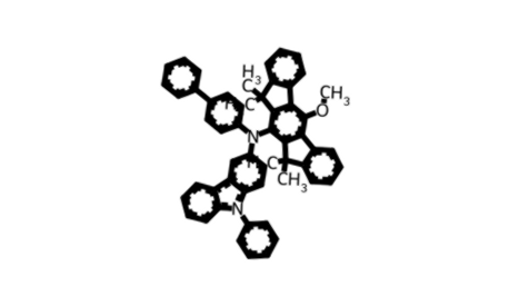 COc1c2c(c(N(c3ccc(-c4ccccc4)cc3)c3ccc4c(c3)c3ccccc3n4-c3ccccc3)c3c1-c1ccccc1C3(C)C)C(C)(C)c1ccccc1-2